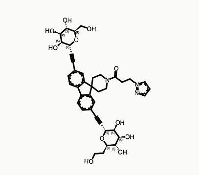 O=C(CCn1cccn1)N1CCC2(CC1)c1cc(C#C[C@H]3O[C@H](CO)[C@@H](O)[C@H](O)[C@@H]3O)ccc1-c1ccc(C#C[C@H]3O[C@H](CCO)[C@@H](O)[C@H](O)[C@@H]3O)cc12